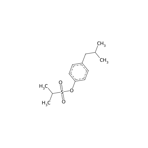 CC(C)Cc1ccc(OS(=O)(=O)C(C)C)cc1